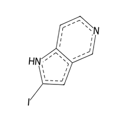 Ic1cc2cnccc2[nH]1